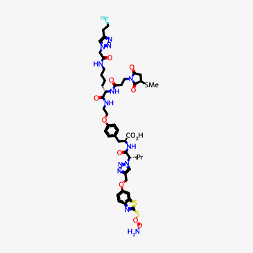 CSC1CC(=O)N(CCC(=O)N[C@@H](CCCCNC(=O)Cn2cc(CC[18F])nn2)C(=O)NCCOc2ccc(C[C@H](NC(=O)[C@H](C(C)C)n3cc(COc4ccc5nc(SOON)sc5c4)nn3)C(=O)O)cc2)C1=O